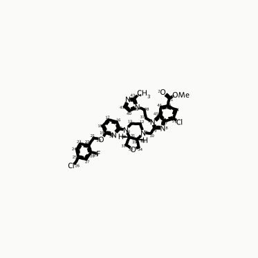 COC(=O)c1cc(Cl)c2nc(CN3CCN(c4cccc(OCc5ccc(Cl)cc5F)n4)[C@H]4COC[C@H]43)n(CCn3ccnc3C)c2c1